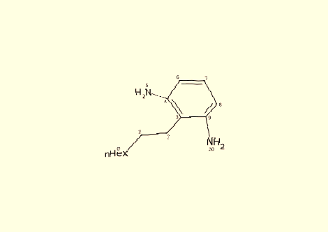 CCCCCCCCc1c(N)cccc1N